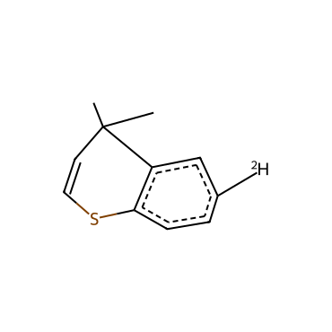 [2H]c1ccc2c(c1)C(C)(C)C=CS2